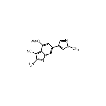 COc1cc(-c2cnn(C)c2)cn2nc(N)c(C#N)c12